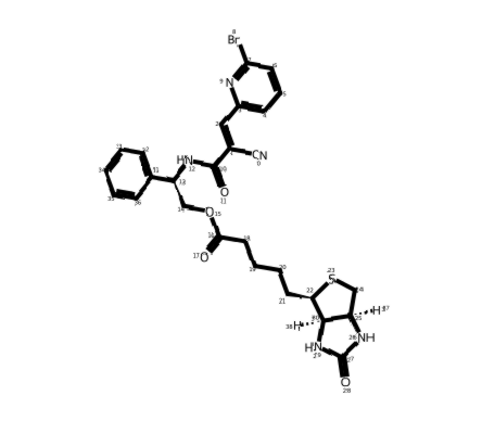 N#C/C(=C\c1cccc(Br)n1)C(=O)N[C@@H](COC(=O)CCCC[C@H]1SC[C@H]2NC(=O)N[C@H]21)c1ccccc1